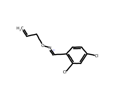 C=CCO/N=C/c1c[c]c(Cl)cc1Cl